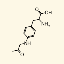 CC(=O)CNc1ccc(CC(N)C(=O)O)cc1